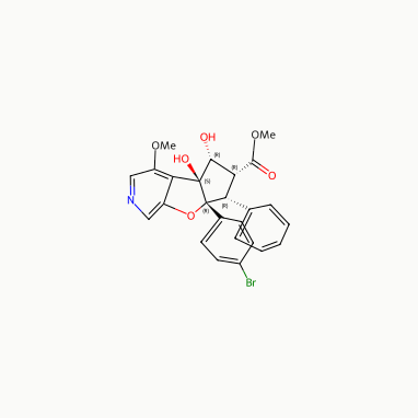 COC(=O)[C@H]1[C@@H](O)[C@@]2(O)c3c(OC)cncc3O[C@@]2(c2ccc(Br)cc2)[C@H]1c1ccccc1